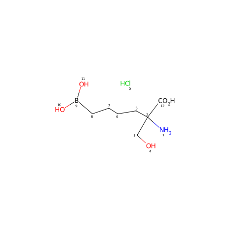 Cl.NC(CO)(CCCCB(O)O)C(=O)O